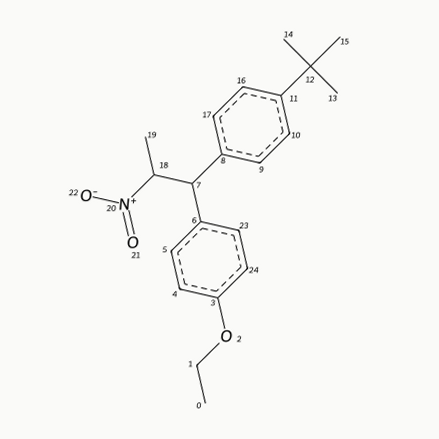 CCOc1ccc(C(c2ccc(C(C)(C)C)cc2)C(C)[N+](=O)[O-])cc1